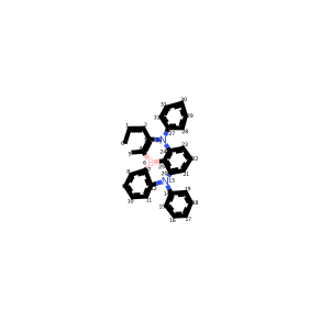 C/C=C\C1=C(C)B2c3ccccc3N(c3ccccc3)c3cccc(c32)N1c1ccccc1